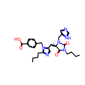 CCCCc1ncc(/C=C2\C(=O)N(CCCC)C(=O)N2Cc2cnc[nH]2)n1Cc1ccc(C(=O)O)cc1